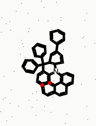 C1=CC2C(C=C1c1ccccc1)C(c1ccccc1)(c1ccccc1)c1ccccc1N2c1cccc2ccc3ccccc3c12